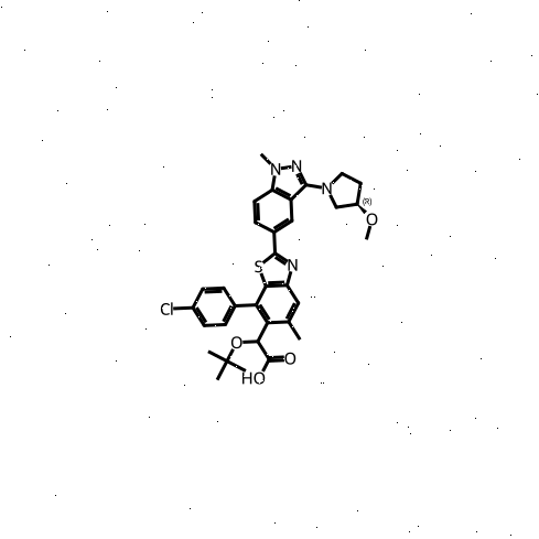 CO[C@@H]1CCN(c2nn(C)c3ccc(-c4nc5cc(C)c(C(OC(C)(C)C)C(=O)O)c(-c6ccc(Cl)cc6)c5s4)cc23)C1